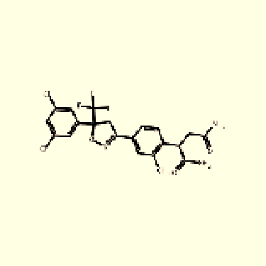 Cc1cc(C2=NOC(c3cc(Cl)cc(Cl)c3)(C(F)(F)F)C2)ccc1C(CC(N)=O)C(N)=O